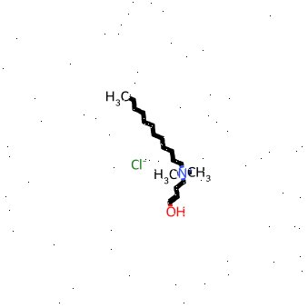 CCCCCCCCCCCC[N+](C)(C)CCC=CO.[Cl-]